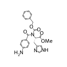 COC(=O)[C@H](Cc1c[nH]cn1)N(C(=O)OCc1ccccc1)C(=O)c1ccc(N)cc1